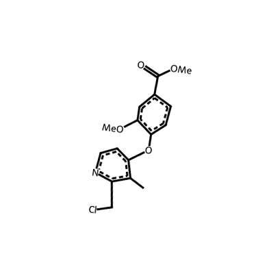 COC(=O)c1ccc(Oc2ccnc(CCl)c2C)c(OC)c1